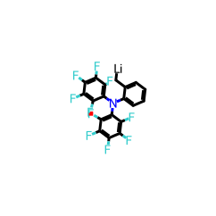 [Li][CH2]c1ccccc1N(c1c(F)c(F)c(F)c(F)c1F)c1c(F)c(F)c(F)c(F)c1F